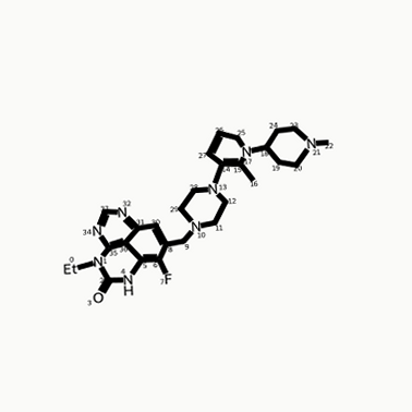 CCN1C(=O)Nc2c(F)c(CN3CCN(C4=C(C)N(C5CCN(C)CC5)CC=C4)CC3)cc3ncnc1c23